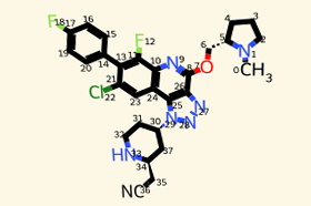 CN1CCC[C@H]1COc1nc2c(F)c(-c3ccc(F)cc3)c(Cl)cc2c2c1nnn2[C@H]1CCN[C@H](CC#N)C1